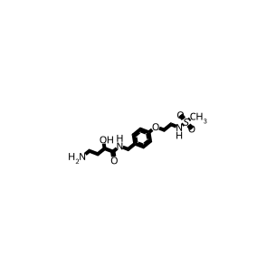 CS(=O)(=O)NCCOc1ccc(CNC(=O)C(O)CCN)cc1